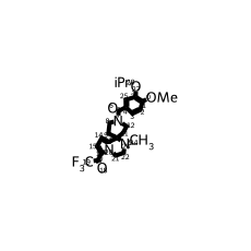 COc1ccc(C(=O)N2CCC3(CC2)c2ccc(C(=O)C(F)(F)F)n2CCN3C)cc1OC(C)C